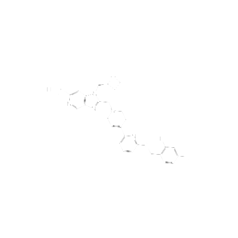 O=C(O)c1cc2c(cn1)nc(CN1CC=C(c3cccc(OCc4ccc(Cl)cc4F)n3)CC1)n2C[C@@H]1CCO1